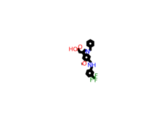 COc1cc2c(CC(=O)O)cn(Cc3ccccc3)c2cc1CNCc1cccc(C(F)(F)F)c1